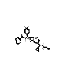 CCCC(=O)N[C@@H](c1cnn2cc([C@@H](NC(=O)c3ccccn3)C3CCC(F)(F)CC3)nc2c1)C1CC1